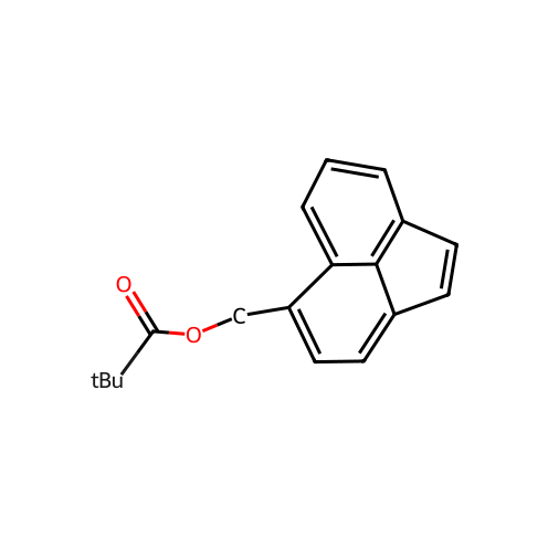 CC(C)(C)C(=O)OCc1ccc2c3c(cccc13)C=C2